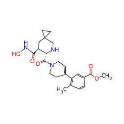 COC(=O)c1ccc(C)c(C2=CCN(C(=O)[C@H]3NCC4(CC4)C[C@@H]3C(=O)NO)CC2)c1